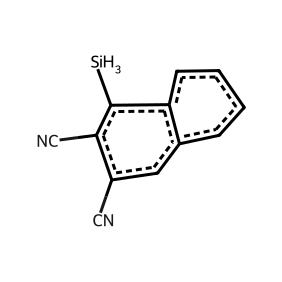 N#Cc1cc2ccccc2c([SiH3])c1C#N